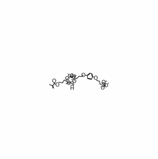 C=C(C)C(=O)OCCC[Si]1(C)O[SiH](C)O[Si](C)(CCCOc2ccc(OCCC[Si](OC)(OC)OC)cc2)O[SiH](C)O1